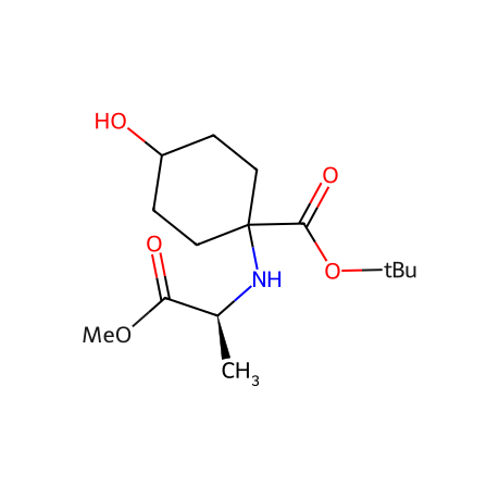 COC(=O)[C@H](C)NC1(C(=O)OC(C)(C)C)CCC(O)CC1